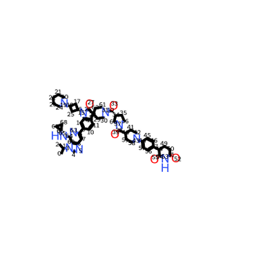 CC(C)n1cnc2cc(-c3ccc4c(c3)N([C@H]3C[C@@H](N5CCCCC5)C3)C(=O)C43CCN(C(=O)[C@@H]4CCN(C(=O)C5CCN(c6ccc(C7CCC(=O)NC7=O)cc6)CC5)C4)CC3)nc(NC3CC3)c21